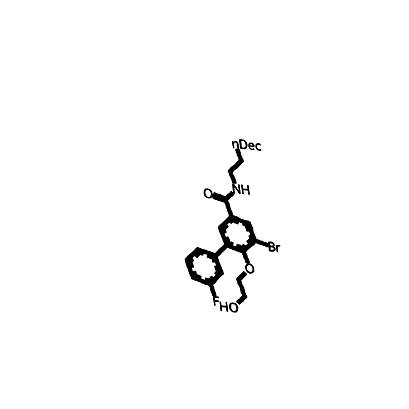 CCCCCCCCCCCCNC(=O)c1cc(Br)c(OCCO)c(-c2cccc(F)c2)c1